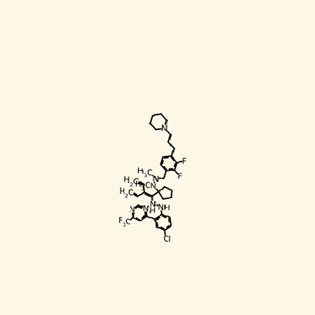 C=CC(C=C)=C(NNc1ccc(Cl)cc1-c1cc(C(F)(F)F)ncn1)C1(N(C)N(C)Cc2ccc(CCCN3CCCCC3)c(F)c2F)CCCC1